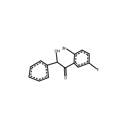 O=C(c1cc(F)ccc1Br)C(O)c1ccccc1